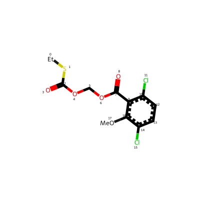 CCSC(=O)OCOC(=O)c1c(Cl)ccc(Cl)c1OC